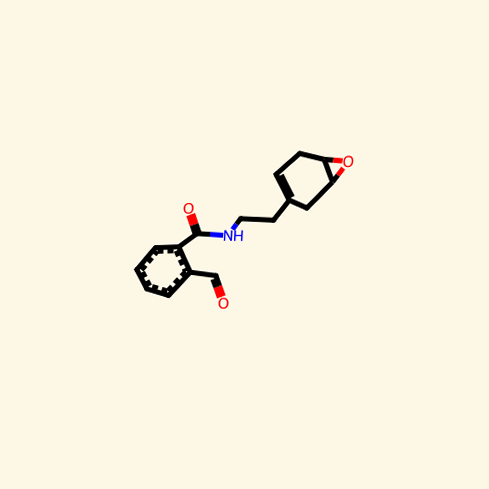 O=Cc1ccccc1C(=O)NCCC1=CCC2OC2C1